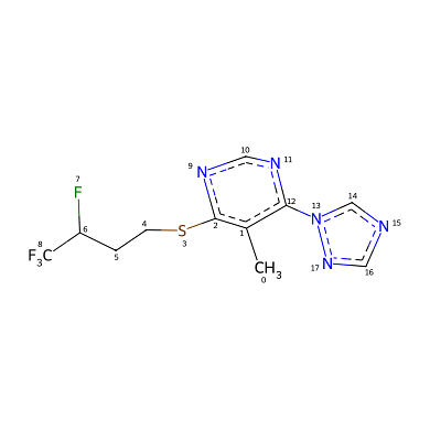 Cc1c(SCCC(F)C(F)(F)F)ncnc1-n1cncn1